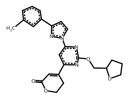 Cc1cccc(-c2ccn(-c3cc(C4=CC(=O)OCC4)nc(OCC4CCCO4)n3)n2)c1